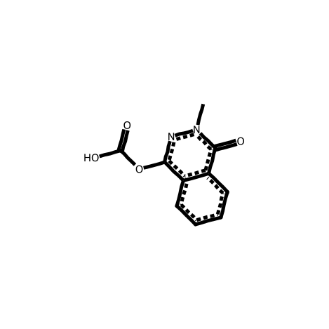 Cn1nc(OC(=O)O)c2ccccc2c1=O